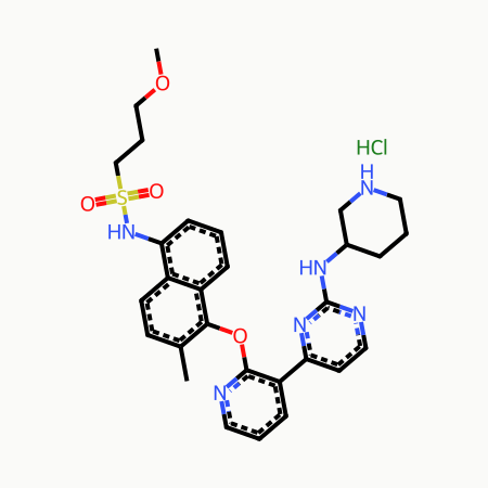 COCCCS(=O)(=O)Nc1cccc2c(Oc3ncccc3-c3ccnc(NC4CCCNC4)n3)c(C)ccc12.Cl